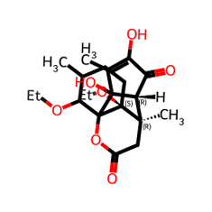 CCOC1C(C)CC[C@@]2(OCC)C13OC(=O)C[C@]2(C)[C@H]1C(=O)C(O)=C(C)C13O